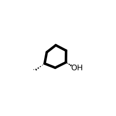 [CH2][C@@H]1CCC[C@H](O)C1